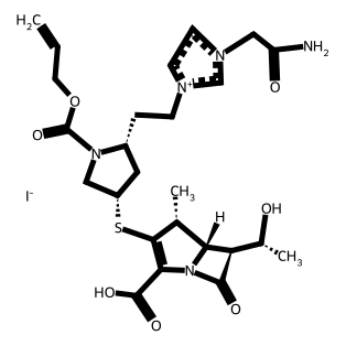 C=CCOC(=O)N1C[C@@H](SC2=C(C(=O)O)N3C(=O)[C@H]([C@@H](C)O)[C@H]3[C@H]2C)C[C@H]1CC[n+]1ccn(CC(N)=O)c1.[I-]